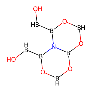 OBB1OBOB2OBOB(BO)N12